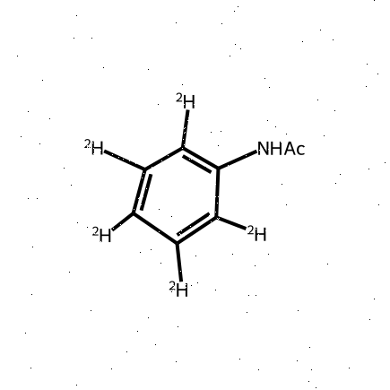 [2H]c1c([2H])c([2H])c(NC(C)=O)c([2H])c1[2H]